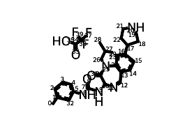 Cc1cccc(NC(=O)NC2N=Cc3ccc(C4CCNCC4)cc3N(CC(C)C)C2=O)c1.O=C(O)C(F)(F)F